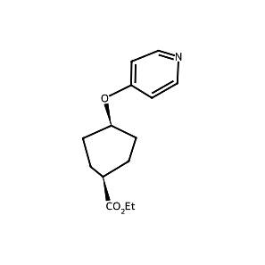 CCOC(=O)[C@H]1CC[C@@H](Oc2ccncc2)CC1